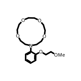 COCCOc1ccccc1N1CCOCCOCCOCCOCC1